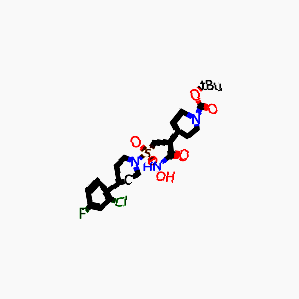 CC(C)(C)OC(=O)N1CCC(C(CS(=O)(=O)N2CCC(c3ccc(F)cc3Cl)CC2)C(=O)NO)CC1